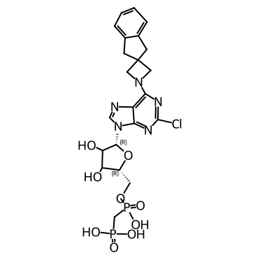 O=P(O)(O)CP(=O)(O)OC[C@H]1O[C@@H](n2cnc3c(N4CC5(Cc6ccccc6C5)C4)nc(Cl)nc32)C(O)C1O